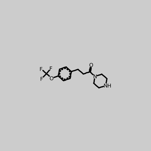 O=C(CCc1ccc(OC(F)(F)F)cc1)N1CCNCC1